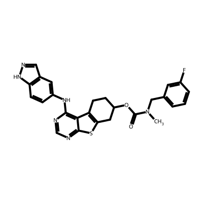 CN(Cc1cccc(F)c1)C(=O)OC1CCc2c(sc3ncnc(Nc4ccc5[nH]ncc5c4)c23)C1